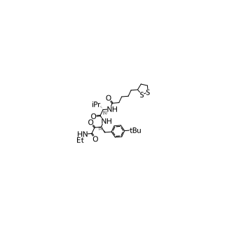 CCNC(=O)C(=O)[C@H](Cc1ccc(C(C)(C)C)cc1)NC(=O)[C@@H](NC(=O)CCCCC1CCSS1)C(C)C